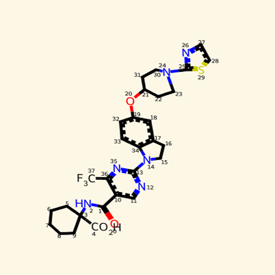 O=C(NC1(C(=O)O)CCCCC1)c1cnc(N2CCc3cc(OC4CCN(c5nccs5)CC4)ccc32)nc1C(F)(F)F